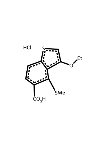 CCOc1csc2ccc(C(=O)O)c(SC)c12.Cl